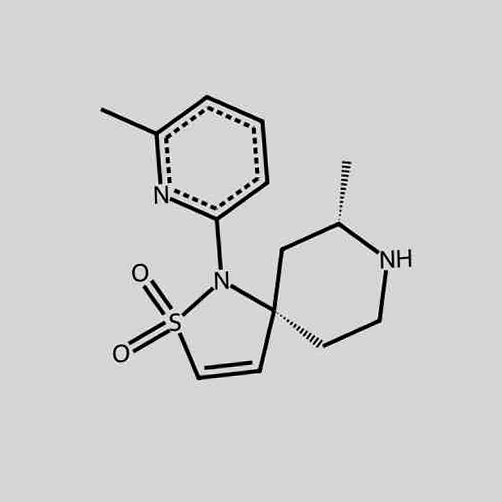 Cc1cccc(N2[C@@]3(C=CS2(=O)=O)CCN[C@@H](C)C3)n1